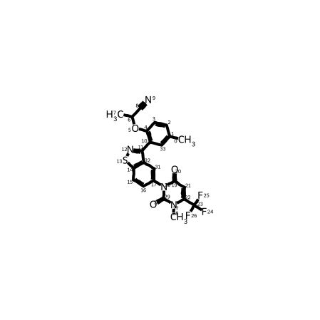 Cc1ccc(OC(C)C#N)c(-c2nsc3ccc(-n4c(=O)cc(C(F)(F)F)n(C)c4=O)cc23)c1